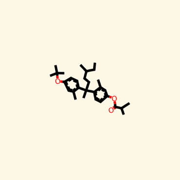 CCC(C)CCC(C)(c1ccc(OC(=O)C(C)C)cc1C)c1ccc(OC(C)(C)C)cc1C